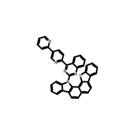 c1ccc(-c2ccc(-c3nc(-n4c5ccccc5c5ccc6ccc7c8ccccc8sc7c6c54)nc4ccccc34)nc2)nc1